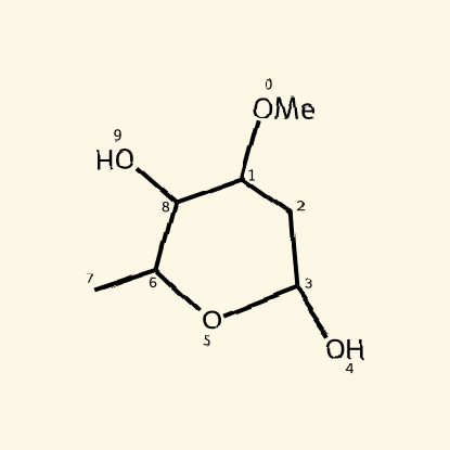 COC1CC(O)OC(C)C1O